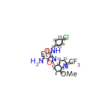 CC[C@H](N)c1oc(-c2ccc(OC)c3nc(C(F)(F)F)ccc23)nc1C(=O)NCc1ccc(Cl)cc1